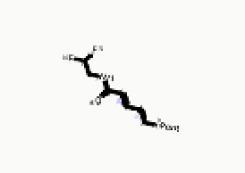 CCCCC/C=C/C=C/C(=O)NCC(F)F